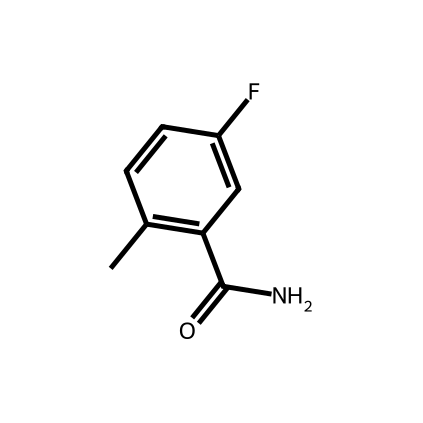 Cc1ccc(F)cc1C(N)=O